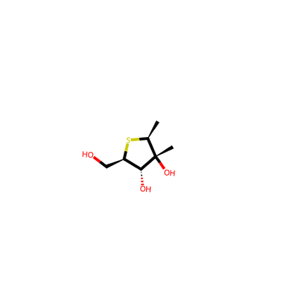 C[C@@H]1S[C@H](CO)[C@@H](O)[C@@]1(C)O